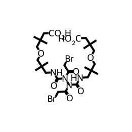 CC(C)(CNC(=O)N(C(=O)CBr)N(C(=O)CBr)C(=O)NCC(C)(C)COCC(C)(C)CC(=O)O)COCC(C)(C)CC(=O)O